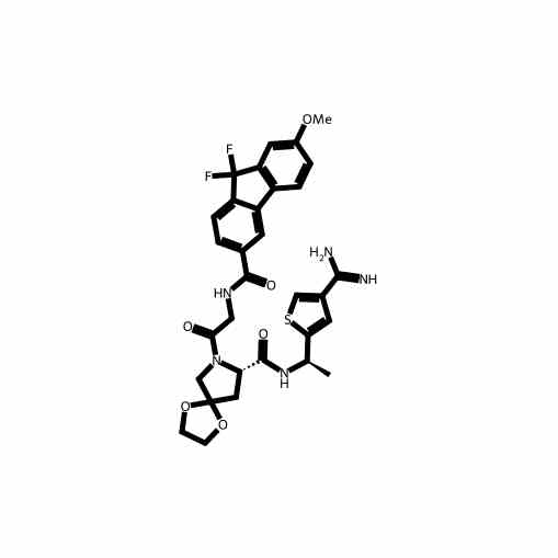 COc1ccc2c(c1)C(F)(F)c1ccc(C(=O)NCC(=O)N3CC4(C[C@H]3C(=O)N[C@H](C)c3cc(C(=N)N)cs3)OCCO4)cc1-2